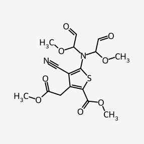 COC(=O)Cc1c(C(=O)OC)sc(N(C(C=O)OC)C(C=O)OC)c1C#N